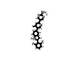 Cc1cc(-c2cnc(N)nc2)ncc1-c1ccc2c(c1)CC(c1c(F)cccc1F)N2